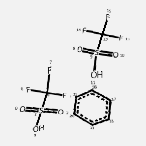 O=S(=O)(O)C(F)(F)F.O=S(=O)(O)C(F)(F)F.c1ccccc1